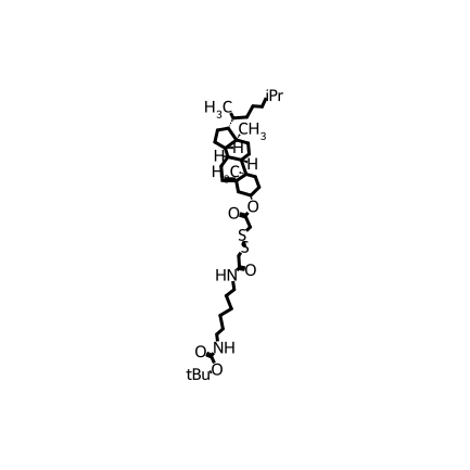 CC(C)CCCC(C)[C@H]1CC[C@H]2[C@@H]3CC=C4C[C@@H](OC(=O)CSSCC(=O)NCCCCCCNC(=O)OC(C)(C)C)CC[C@]4(C)[C@H]3CC[C@]12C